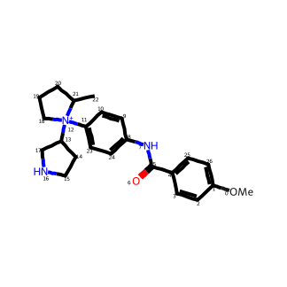 COc1ccc(C(=O)Nc2ccc([N+]3(C4CCNC4)CCCC3C)cc2)cc1